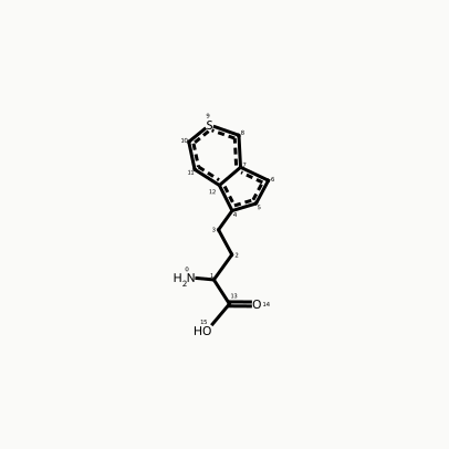 NC(CCc1ccc2csccc1-2)C(=O)O